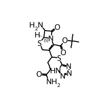 CC(C)(C)OC(=O)C1=C(C(CCC(N)=O)Sc2nnn[nH]2)CS[C@H]2C(N)C(=O)N12